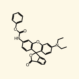 CCN(CC)c1ccc2c(c1)Oc1cc(NC(=O)Oc3ccccc3)ccc1C21OC(=O)c2ccccc21